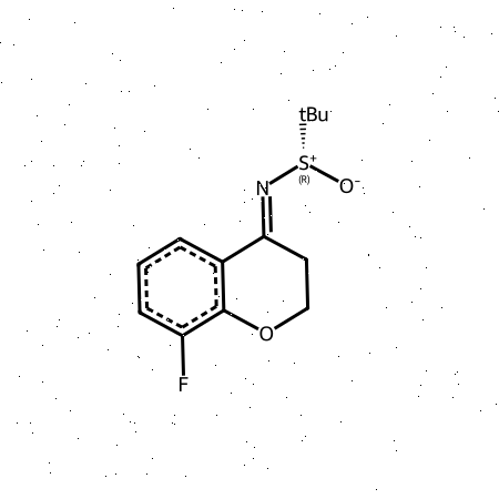 CC(C)(C)[S@+]([O-])N=C1CCOc2c(F)cccc21